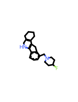 FC1CCN(Cc2cccc3c2CC2=C3NCC3=C2CCCC3)CC1